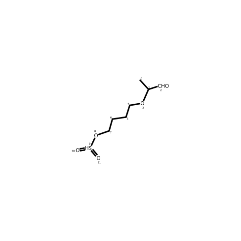 CC(C=O)OCCCCO[SH](=O)=O